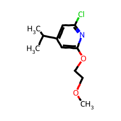 COCCOc1cc(C(C)C)cc(Cl)n1